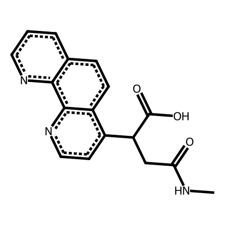 CNC(=O)CC(C(=O)O)c1ccnc2c1ccc1cccnc12